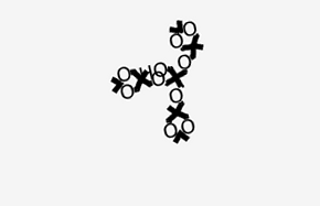 CC1(COCC(CO)(COCC2(C)COC(C)(C)OC2)COCC2(C)COC(C)(C)OC2)COC(C)(C)OC1